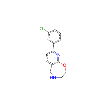 Clc1cccc(-c2ccc3c(n2)OCCNC3)c1